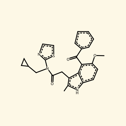 COc1ccc2[nH]c(C)c(CC(=O)N(CC3CC3)c3nccs3)c2c1C(=O)c1ccccc1